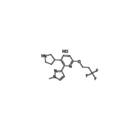 Cl.Cn1ccc(-c2nc(OCCC(F)(F)F)ccc2C2CCNC2)n1